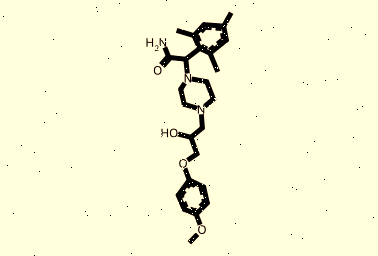 COc1ccc(OCC(O)CN2CCN(C(C(N)=O)c3c(C)cc(C)cc3C)CC2)cc1